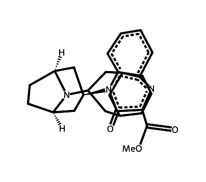 COC(=O)c1nc2ccccc2n([C@H]2C[C@H]3CC[C@@H](C2)N3C2CC3CCCC(C3)C2)c1=O